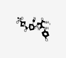 CS(=O)(=O)C1CN(C(=O)[C@H]2CC[C@H](n3cc(C(N)=O)c(Nc4ccc(Cl)cc4)n3)[C@@H](C#N)C2)C1